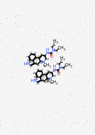 CCN(CC)C(=O)NC1C=C2c3cccc4[nH]cc(c34)CC2N(C)C1.CCN(CC)C(=O)N[C@H]1C=C2c3cccc4[nH]cc(c34)C[C@H]2N(C)C1